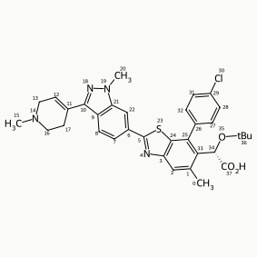 Cc1cc2nc(-c3ccc4c(C5=CCN(C)CC5)nn(C)c4c3)sc2c(-c2ccc(Cl)cc2)c1[C@H](OC(C)(C)C)C(=O)O